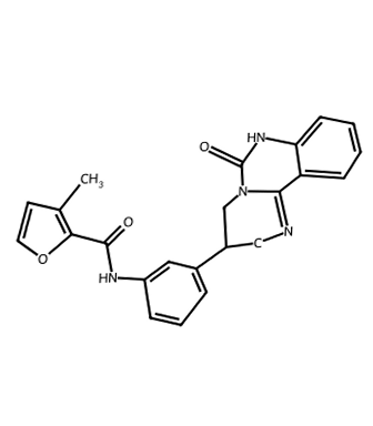 Cc1ccoc1C(=O)Nc1cccc(C2CN=C3c4ccccc4NC(=O)N3C2)c1